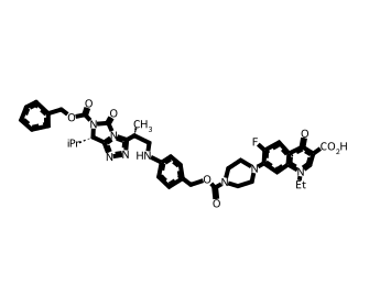 CCn1cc(C(=O)O)c(=O)c2cc(F)c(N3CCN(C(=O)OCc4ccc(NC[C@@H](C)c5nnc6n5C(=O)N(C(=O)OCc5ccccc5)[C@H]6C(C)C)cc4)CC3)cc21